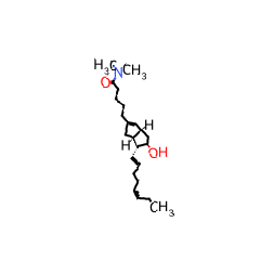 CC/C=C\CC/C=C/[C@@H]1[C@H]2CC(CCCCC(=O)N(C)C)=C[C@H]2C[C@H]1O